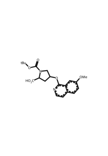 COc1ccc2ccnc(OC3CC(C(=O)O)N(C(=O)OC(C)(C)C)C3)c2c1